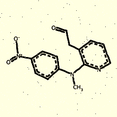 CN(c1ccc([N+](=O)[O-])cc1)c1ncccc1CC=O